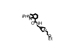 CCOCCN1CC2C(CNC(=O)c3cccc4cn(C(C)C)nc34)C2C1